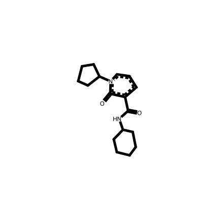 O=C(NC1CCCCC1)c1cccn(C2CCCC2)c1=O